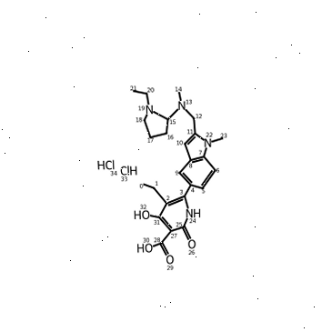 CCc1c(-c2ccc3c(c2)cc(CN(C)C2CCCN2CC)n3C)[nH]c(=O)c(C(=O)O)c1O.Cl.Cl